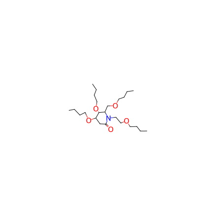 CCCCOCCN1C(=O)CC(OCCCC)C(OCCCC)C1COCCCC